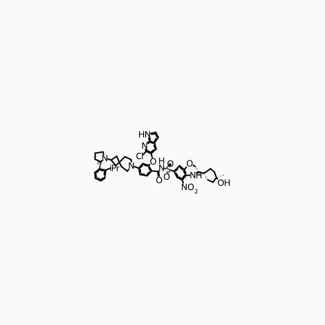 CC(C)c1ccccc1[C@H]1CCCN1C1CC2(CCN(c3ccc(C(=O)NS(=O)(=O)c4cc5c(c([N+](=O)[O-])c4)N[C@@H]([C@H]4CC[C@](C)(O)CC4)CO5)c(Oc4cc5cc[nH]c5nc4Cl)c3)CC2)C1